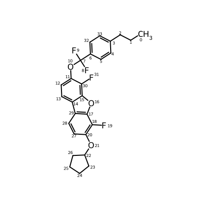 CCCc1ccc(C(F)(F)Oc2ccc3c(oc4c(F)c(OC5CCCC5)ccc43)c2F)cc1